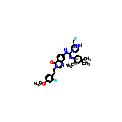 COc1ccc(CCn2cnc3cc(NC(=N[C@H]4CCC(C)(C)C[C@@H]4C)N4CCN[C@@H](CF)C4)ccc3c2=O)c(F)c1